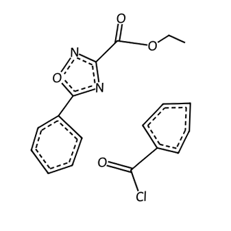 CCOC(=O)c1noc(-c2ccccc2)n1.O=C(Cl)c1ccccc1